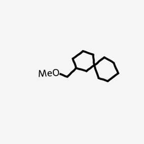 COCC1CCCC2(CCCCC2)C1